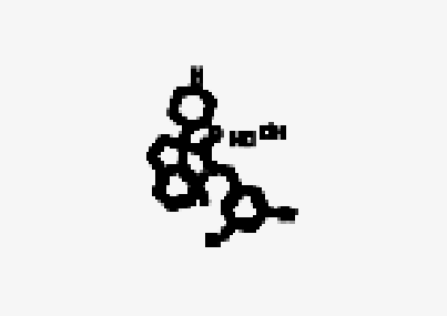 CCN(Cc1cc(Br)cc(Br)c1)C(=O)C1(N2CCNCC2)CCc2ccccc21.Cl.Cl